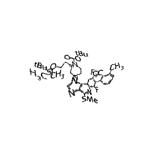 CSc1nc2c(F)c(-c3cccc(C)c3C(F)(F)F)c(Cl)cc2c2c1ncn2[C@H]1CCN(C(=O)OC(C)(C)C)[C@H](CCO[Si](C)(C)C(C)(C)C)C1